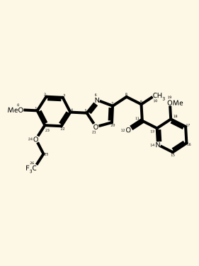 COc1ccc(-c2nc(CC(C)C(=O)c3ncccc3OC)co2)cc1OCC(F)(F)F